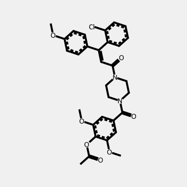 COc1ccc(C(=CC(=O)N2CCN(C(=O)c3cc(OC)c(OC(C)=O)c(OC)c3)CC2)c2ccccc2Cl)cc1